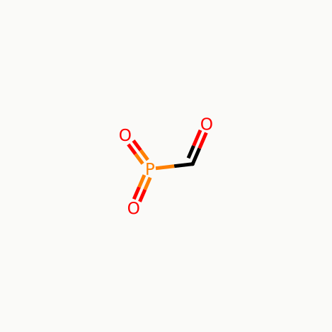 O=CP(=O)=O